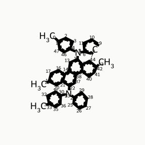 Cc1ccc(N(c2ccccc2)c2cc3c4ccc(C)cc4c(N(c4ccccc4)c4ccc(C)cc4)cc3c3ccc(C)cc23)cc1